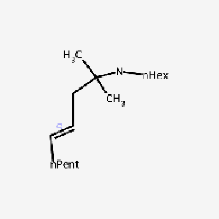 CCCCC/C=C/CC(C)(C)[N]CCCCCC